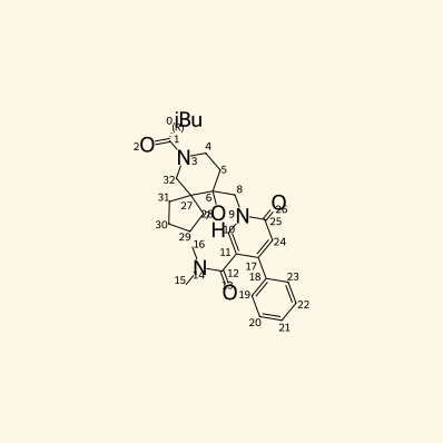 CC[C@@H](C)C(=O)N1CCC(O)(Cn2cc(C(=O)N(C)C)c(-c3ccccc3)cc2=O)C2(CCCC2)C1